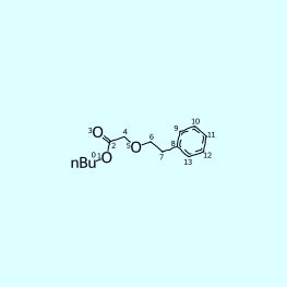 CCCCOC(=O)COCCc1ccccc1